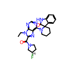 CCn1c(C(=O)N2CC[C@@H](F)C2)nc2c(N3CCCCC34C(=O)Nc3ccccc34)ncnc21